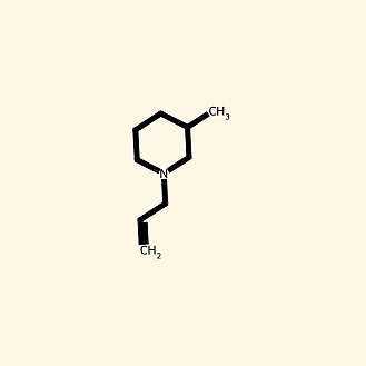 C=CCN1CCCC(C)C1